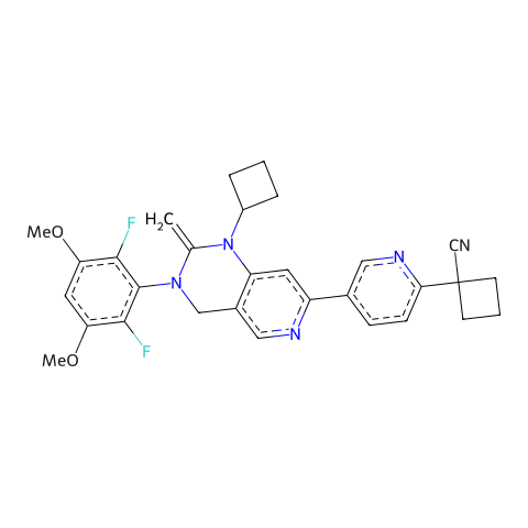 C=C1N(c2c(F)c(OC)cc(OC)c2F)Cc2cnc(-c3ccc(C4(C#N)CCC4)nc3)cc2N1C1CCC1